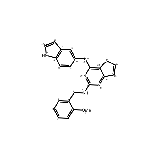 COc1ccccc1CNc1nc(Nc2ccc3[nH]ncc3c2)c2sccc2n1